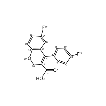 O=C(O)C1=C(c2ccc(F)cc2)c2cc(F)ccc2OC1